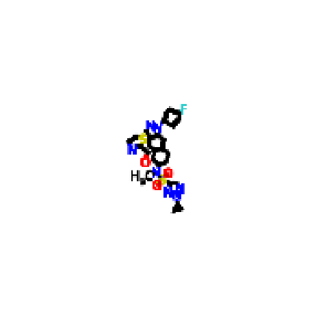 CN([C@H]1CCC2=Cc3c(cnn3-c3ccc(F)cc3)C[C@]2(C(=O)c2nccs2)C1)S(=O)(=O)c1cnn(C2CC2)n1